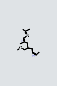 C/C=C\CC(COC)C/C(C)=C\N=C(C)C